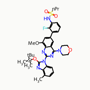 CCCS(=O)(=O)Nc1cccc(-c2cc(OC)c3nc(-n4c(O[Si](C)(C)C(C)(C)C)nc5c(C)cccc54)nc(N4CCOCC4)c3c2)c1F